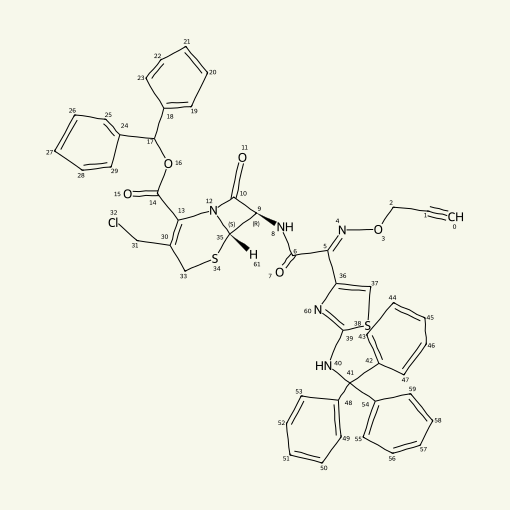 C#CCON=C(C(=O)N[C@@H]1C(=O)N2C(C(=O)OC(c3ccccc3)c3ccccc3)=C(CCl)CS[C@@H]12)c1csc(NC(c2ccccc2)(c2ccccc2)c2ccccc2)n1